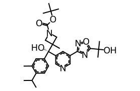 Cc1cc([C@](O)(c2cncc(-c3noc(C(C)(C)O)n3)c2)C2(C)CN(C(=O)OC(C)(C)C)C2)ccc1C(C)C